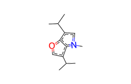 CC(C)c1cn(C)c2c(C(C)C)coc12